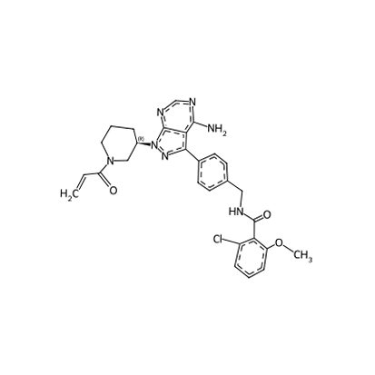 C=CC(=O)N1CCC[C@@H](n2nc(-c3ccc(CNC(=O)c4c(Cl)cccc4OC)cc3)c3c(N)ncnc32)C1